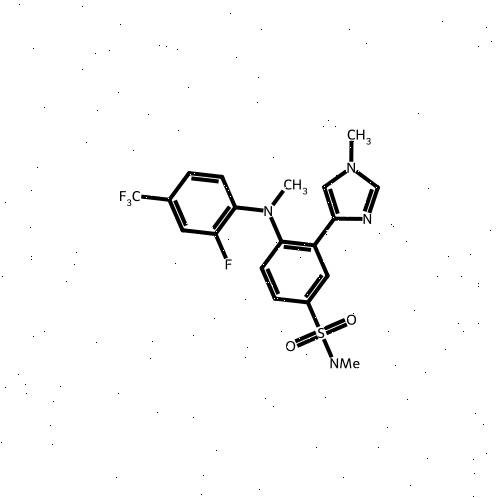 CNS(=O)(=O)c1ccc(N(C)c2ccc(C(F)(F)F)cc2F)c(-c2cn(C)cn2)c1